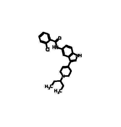 CCC(CC)N1CC=C(c2c[nH]c3ccc(NC(=O)c4ccccc4Cl)cc23)CC1